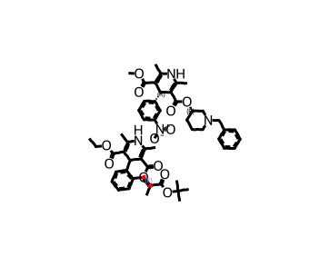 CCOC(=O)C1=C(C)NC(C)=C(C(=O)OCC)C1c1ccccc1/C=C/C(=O)OC(C)(C)C.COC(=O)C1=C(C)NC(C)=C(C(=O)O[C@@H]2CCCN(Cc3ccccc3)C2)[C@@H]1c1cccc([N+](=O)[O-])c1